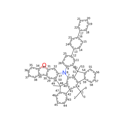 CC(C)(C)c1c2c(c(N(c3ccc(-c4ccc(-c5ccccc5)cc4)cc3)c3ccc4c(c3)oc3ccccc34)c3c1-c1ccccc1C3(C)C)C(C)(C)c1ccccc1-2